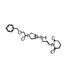 O=C(COCc1ccccc1)N1CC2C(C1)C2NCCCN1C(=O)CCCC1=O